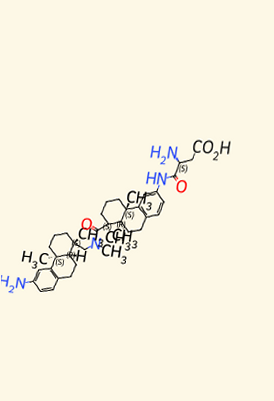 CN(C[C@@]1(C)CCC[C@]2(C)c3cc(N)ccc3CC[C@@H]12)C(=O)[C@@]1(C)CCC[C@]2(C)c3cc(NC(=O)[C@@H](N)CC(=O)O)ccc3CC[C@@]12C